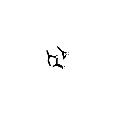 CC1CO1.CC1COC(=O)O1